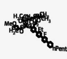 C=C(C)C(=O)OCCCc1cc(-c2ccc(-c3ccc(C4CCC(CCCCC)CC4)cc3F)cc2CC)ccc1OCC(COC(=O)C(=C)C)(COC(=O)C(=C)CC(=O)OC)COC(=O)C(=C)CC(=O)OC